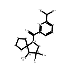 O=C(c1cccc(C(F)F)n1)N1CC(F)(F)C(O)C12CCCC2